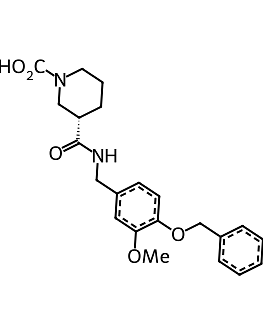 COc1cc(CNC(=O)[C@H]2CCCN(C(=O)O)C2)ccc1OCc1ccccc1